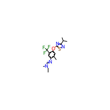 CCN(C)/C=N/c1cc(C(F)(F)F)c(Oc2nc(C(C)C)ns2)cc1C